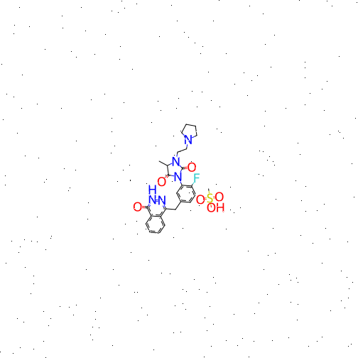 CC1C(=O)N(c2cc(Cc3n[nH]c(=O)c4ccccc34)ccc2F)C(=O)N1CCN1CCCC1.CS(=O)(=O)O